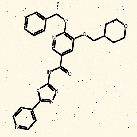 C[C@H](Oc1ncc(C(=O)Nc2nnc(-c3ccncc3)s2)cc1OCC1CCOCC1)c1ccccc1